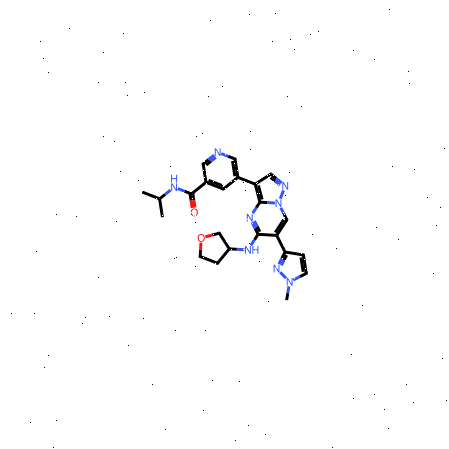 CC(C)NC(=O)c1cncc(-c2cnn3cc(-c4ccn(C)n4)c(NC4CCOC4)nc23)c1